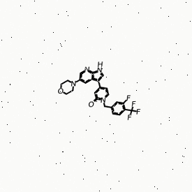 O=c1cc(-c2c[nH]c3ncc(N4CCOCC4)cc23)ccn1Cc1ccc(C(F)(F)F)c(F)c1